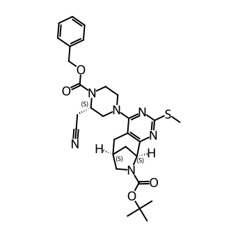 CSc1nc2c(c(N3CCN(C(=O)OCc4ccccc4)[C@@H](CC#N)C3)n1)C[C@H]1C[C@@H]2N(C(=O)OC(C)(C)C)C1